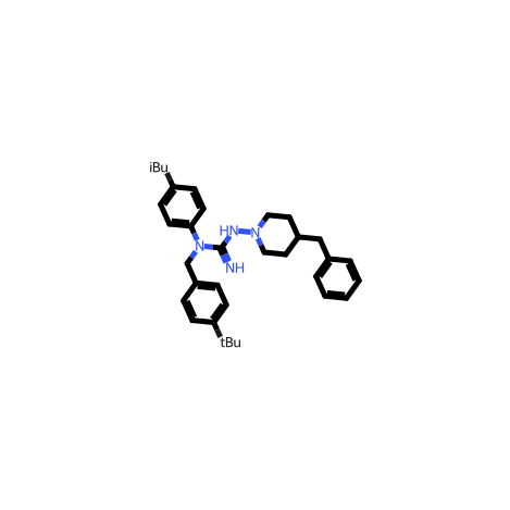 CCC(C)c1ccc(N(Cc2ccc(C(C)(C)C)cc2)C(=N)NN2CCC(Cc3ccccc3)CC2)cc1